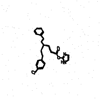 O=C(CCC(CCc1ccccc1)CCc1ccc(Cl)cc1)Oc1ncc[nH]1